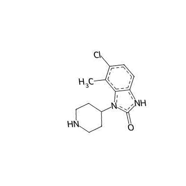 Cc1c(Cl)ccc2[nH]c(=O)n(C3CCNCC3)c12